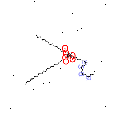 CC/C=C\C/C=C\C/C=C\C/C=C\CCCCC(=O)O[C@H](COC(=O)CCCCCCCCCCCCCC)COC(=O)CCCCCCCCCCCCCCCCCCCC